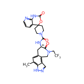 Cc1cc2c(c3cn[nH]c13)CN(CC(F)(F)F)C(=O)[C@H](NC(=O)N1CCC3(CC1)OC(=O)Nc1ncccc13)C2